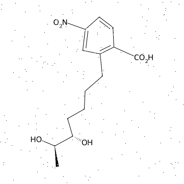 C[C@@H](O)[C@@H](O)CCCCc1cc([N+](=O)[O-])ccc1C(=O)O